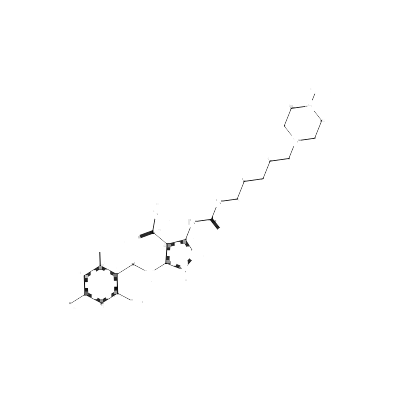 CN1CCN(CCCCCNC(=O)Nc2snc(OCc3c(F)cc(Cl)cc3F)c2C(N)=O)CC1